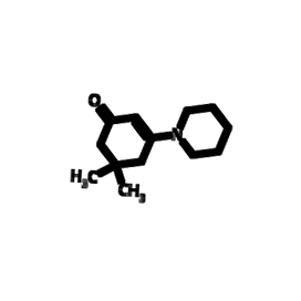 CC1(C)CC(=O)C=C(N2CCCCC2)C1